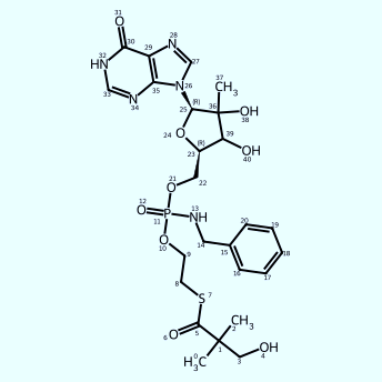 CC(C)(CO)C(=O)SCCOP(=O)(NCc1ccccc1)OC[C@H]1O[C@@H](n2cnc3c(=O)[nH]cnc32)C(C)(O)C1O